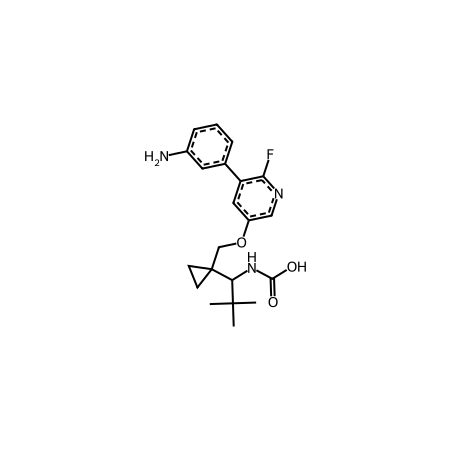 CC(C)(C)C(NC(=O)O)C1(COc2cnc(F)c(-c3cccc(N)c3)c2)CC1